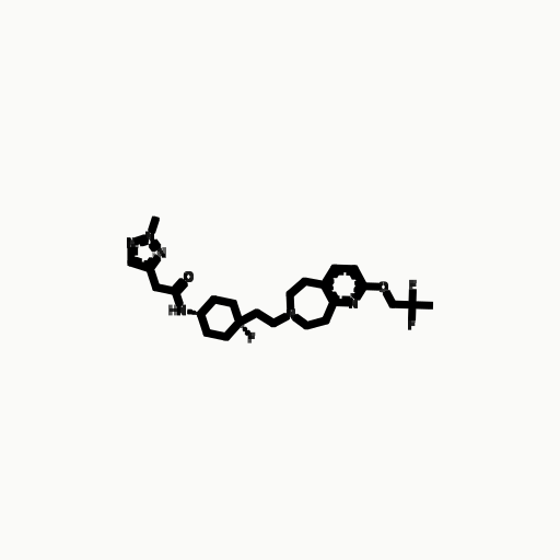 Cn1ncc(CC(=O)N[C@H]2CC[C@](F)(CCN3CCc4ccc(OCC(C)(F)F)nc4CC3)CC2)n1